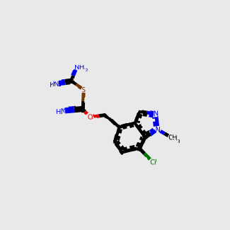 Cn1ncc2c(COC(=N)SC(=N)N)ccc(Cl)c21